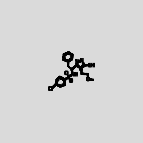 COCCn1c(S)nnc1[C@@H](Cc1ccccc1)NS(=O)(=O)c1ccc(Cl)cc1